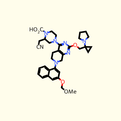 COCOc1cc(N2CCc3c(nc(OCC4(N5CCCC5)CC4)nc3N3CCN(C(=O)O)C(CC#N)C3)C2)c2ccccc2c1